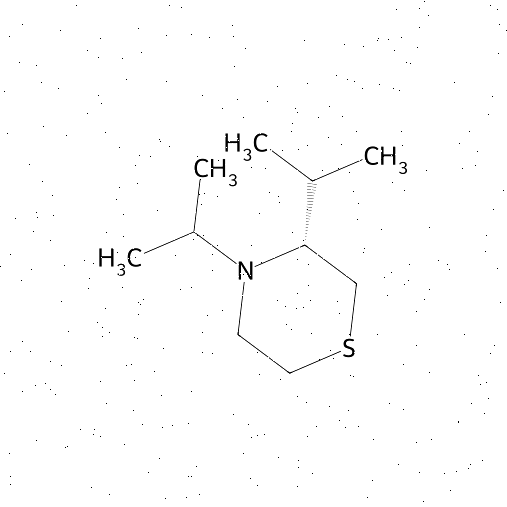 CC(C)[C@@H]1CSCCN1C(C)C